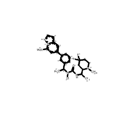 CCN(C(=O)NC(C1CC(F)(F)CCN1C)C(F)(F)F)C(C)c1cccc(-c2cc(OC)n3nccc3c2)c1